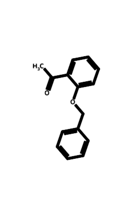 CC(=O)c1ccccc1OCc1ccccc1